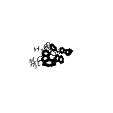 CC1(C)c2ccccc2-c2c1ccc1c2Oc2c(N(c3ccc4c(c3)-c3ccccc3-4)c3cccc4ccccc34)cccc2[Si]1(C)C